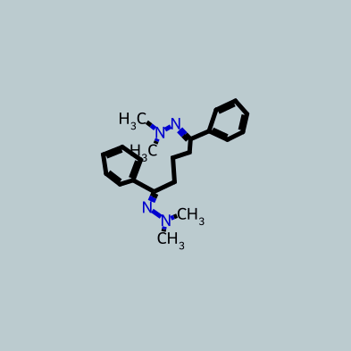 CN(C)/N=C(\CCC/C(=N\N(C)C)c1ccccc1)c1ccccc1